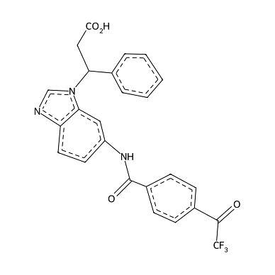 O=C(O)CC(c1ccccc1)n1cnc2ccc(NC(=O)c3ccc(C(=O)C(F)(F)F)cc3)cc21